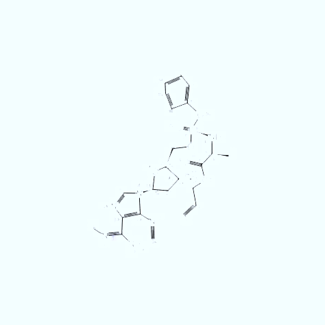 C=CCOC(=O)[C@H](C)N[P@](=O)(OC[C@@H]1O[C@H](n2cnc(/C(N)=N\C)c2N=C)C[C@H]1O)Oc1ccccc1